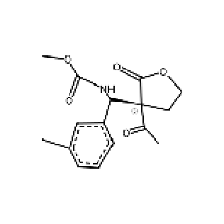 COC(=O)NC(c1cccc(C)c1)[C@]1(C(C)=O)CCOC1=O